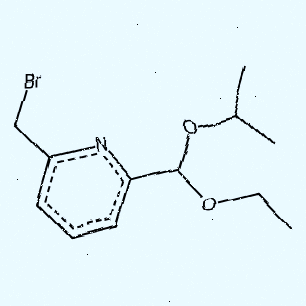 CCOC(OC(C)C)c1cccc(CBr)n1